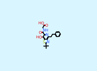 CC(C)(C)c1nc2c(CCc3ccccc3)nc(C(=O)NCC(=O)O)c(O)c2s1